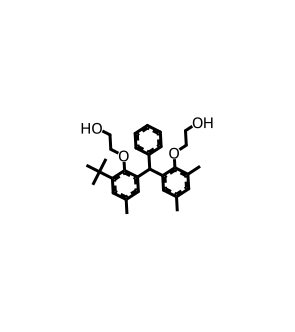 Cc1cc(C)c(OCCO)c(C(c2ccccc2)c2cc(C)cc(C(C)(C)C)c2OCCO)c1